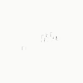 CCOc1ccc2cc(OCC3CCC(C4CCC(CC)CC4)CC3)c(F)c(F)c2c1F